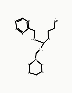 OCCCC(CCN1CC[CH]CC1)OCc1ccccc1